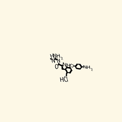 CNC(N)=NC(=O)c1cc2c(C)ccc(Oc3ccc(N)cc3)c2[nH]1.Cl